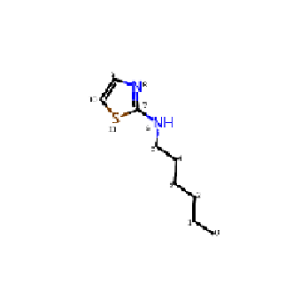 CCCCCCNc1nccs1